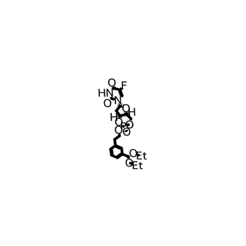 CCOC(OCC)c1cccc(CCOP2(=O)OC[C@H]3O[C@@H](n4cc(F)c(=O)[nH]c4=O)C[C@@H]3O2)c1